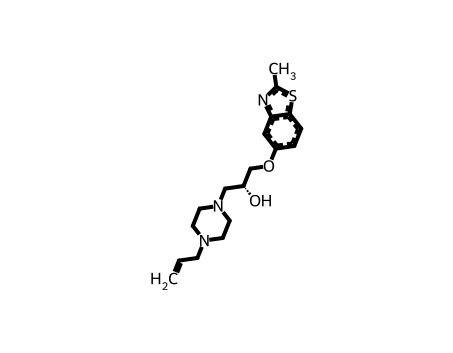 C=CCN1CCN(C[C@@H](O)COc2ccc3sc(C)nc3c2)CC1